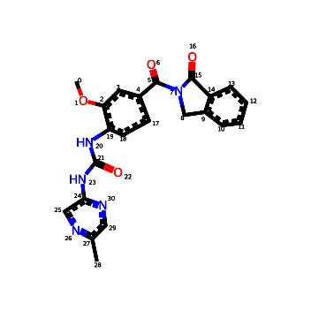 COc1cc(C(=O)N2Cc3ccccc3C2=O)ccc1NC(=O)Nc1cnc(C)cn1